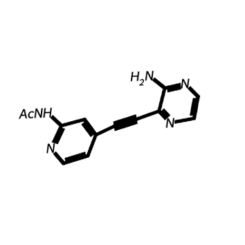 CC(=O)Nc1cc(C#Cc2nccnc2N)ccn1